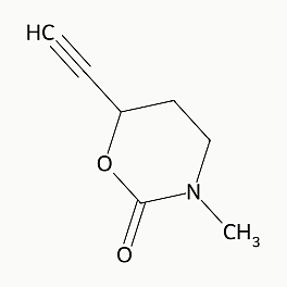 C#CC1CCN(C)C(=O)O1